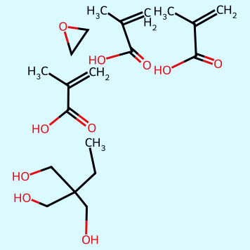 C1CO1.C=C(C)C(=O)O.C=C(C)C(=O)O.C=C(C)C(=O)O.CCC(CO)(CO)CO